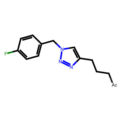 CC(=O)CCCc1cn(Cc2ccc(F)cc2)nn1